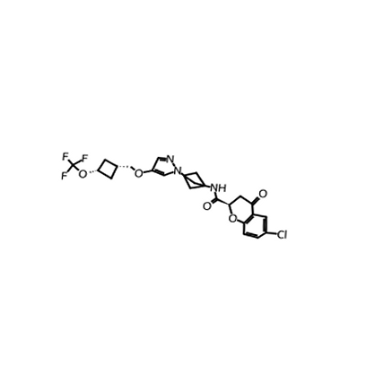 O=C1C[C@H](C(=O)NC23CC(n4cc(OC[C@H]5C[C@@H](OC(F)(F)F)C5)cn4)(C2)C3)Oc2ccc(Cl)cc21